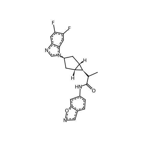 CC(C(=O)Nc1ccc2cnoc2c1)[C@H]1[C@@H]2C[C@@H](n3cnc4cc(F)c(F)cc43)C[C@@H]21